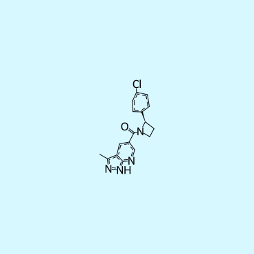 Cc1n[nH]c2ncc(C(=O)N3CC[C@@H]3c3ccc(Cl)cc3)cc12